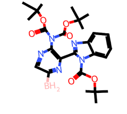 Bc1cnc(N(C(=O)OC(C)(C)C)C(=O)OC(C)(C)C)c(-c2nc3ccccc3n2C(=O)OC(C)(C)C)n1